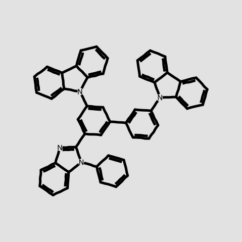 c1ccc(-n2c(-c3cc(-c4cccc(-n5c6ccccc6c6ccccc65)c4)cc(-n4c5ccccc5c5ccccc54)c3)nc3ccccc32)cc1